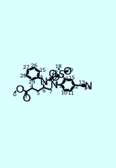 COC(=O)CCC1CN(c2ccc(C#N)cc2S(C)(=O)=O)C(=O)N1c1ccccc1